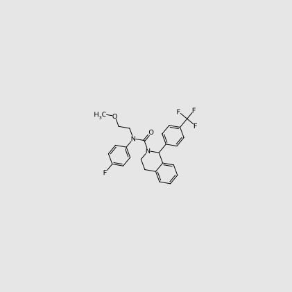 COCCN(C(=O)N1CCc2ccccc2C1c1ccc(C(F)(F)F)cc1)c1ccc(F)cc1